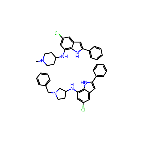 CN1CCC(Nc2cc(Cl)cc3cc(-c4ccccc4)[nH]c23)CC1.Clc1cc(NC2CCN(Cc3ccccc3)C2)c2[nH]c(-c3ccccc3)cc2c1